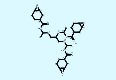 CC(OCC(COC(C)OC(=O)C1CCC2OC2C1)OC(C)OC(=O)C1CCC2OC2C1)OC(=O)C1CCC2OC2C1